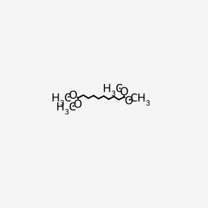 COC(CCCCCCCCC(OC)OC)OC